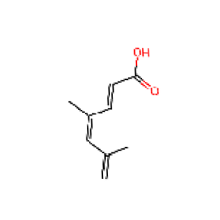 C=C(C)C=C(C)C=CC(=O)O